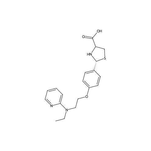 CCN(CCOc1ccc([C@@H]2NC(C(=O)O)CS2)cc1)c1ccccn1